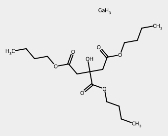 CCCCOC(=O)CC(O)(CC(=O)OCCCC)C(=O)OCCCC.[GaH3]